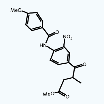 COC(=O)CC(C)C(=O)c1ccc(NC(=O)c2ccc(OC)cc2)c([N+](=O)[O-])c1